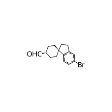 O=C[C@H]1CC[C@]2(CCc3cc(Br)ccc32)CC1